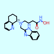 O=C(CCCN(Cc1nc2ccccc2[nH]1)[C@H]1CCCc2cccnc21)NO